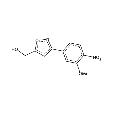 COc1cc(-c2cc(CO)on2)ccc1[N+](=O)[O-]